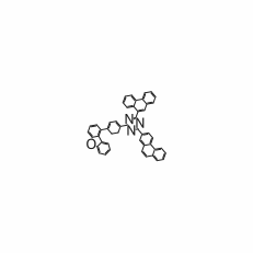 C1=C(c2nc(-c3ccc4c(ccc5ccccc54)c3)nc(-c3cc4ccccc4c4ccccc34)n2)CCC(c2cccc3oc4ccccc4c23)=C1